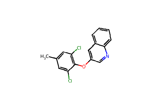 Cc1cc(Cl)c(Oc2cnc3ccccc3c2)c(Cl)c1